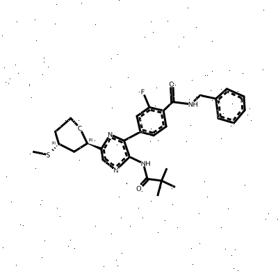 CS[C@@H]1CCC[C@@H](c2cnc(NC(=O)C(C)(C)C)c(-c3ccc(C(=O)NCc4ccccc4)c(F)c3)n2)C1